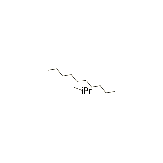 CC(C)C.CCCCCCCCCC